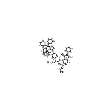 CCCCN(Cc1ccc(-c2ccccc2-c2nnnn2C(c2ccccc2)(c2ccccc2)c2ccccc2)cc1)c1c(C(=O)OCC)ncc2c1C(=O)N(c1ccccc1)C2=O